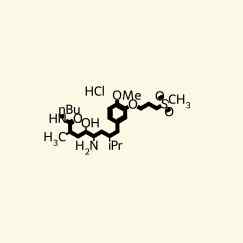 CCCCNC(=O)[C@H](C)C[C@H](O)[C@@H](N)C[C@H](Cc1ccc(OC)c(OCCCS(C)(=O)=O)c1)C(C)C.Cl